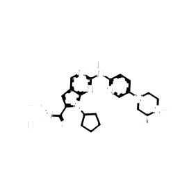 C[C@H]1CN(c2ccc(Nc3ncc4cc(C(=O)N(C)C)n(C5CCCC5)c4n3)nc2)CCN1